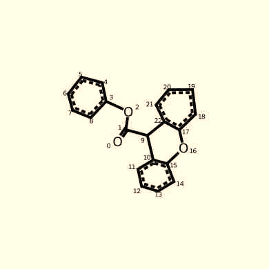 O=C(Oc1ccccc1)C1c2ccccc2Oc2ccccc21